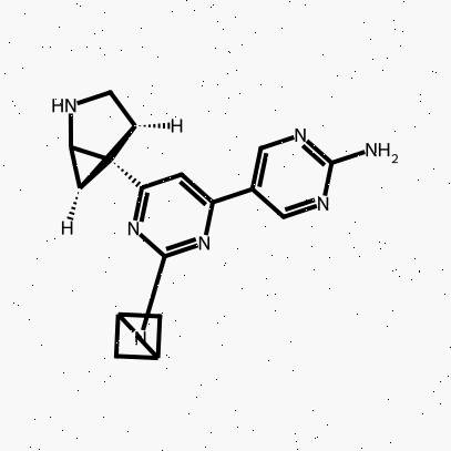 Nc1ncc(-c2cc([C@]34C5NC[C@@H]3[C@H]54)nc(N3CC4CC3C4)n2)cn1